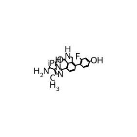 Cc1nc(-c2ccc(-c3ccc(O)cc3F)c3c2C(=O)NC3)[nH]c1C(N)C(C)C